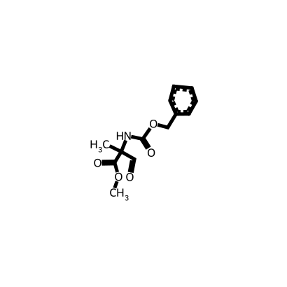 COC(=O)C(C)(C=O)NC(=O)OCc1ccccc1